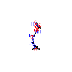 CC(=O)c1c(C)c2cnc(Nc3ccc(N4CCN(C(=O)CNCCCCNC(=O)COc5cccc6c5C(=O)N(C5CCC(=O)NC5=O)C6=O)CC4)cn3)nc2n(C2CCCC2)c1=O